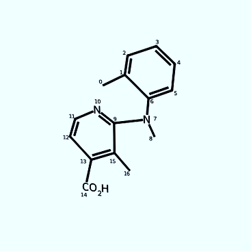 Cc1ccccc1N(C)c1nccc(C(=O)O)c1C